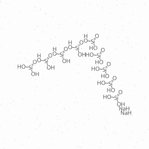 O=[Si](O)O.O=[Si](O)O.O=[Si](O)O.O=[Si](O)O.O=[Si](O)O.O=[Si](O)O.O=[Si](O)O.O=[Si](O)O.O=[Si](O)O.[NaH].[NaH]